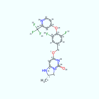 C[C@H]1Cn2c(cc(OCc3cc(F)c(Oc4ccnc(C(F)(F)F)c4)c(F)c3)nc2=O)N1